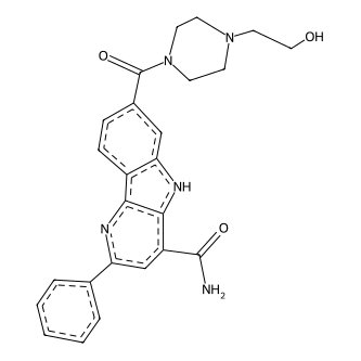 NC(=O)c1cc(-c2ccccc2)nc2c1[nH]c1cc(C(=O)N3CCN(CCO)CC3)ccc12